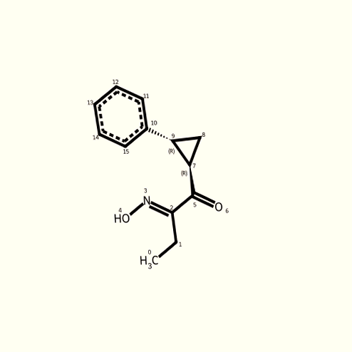 CCC(=NO)C(=O)[C@@H]1C[C@H]1c1ccccc1